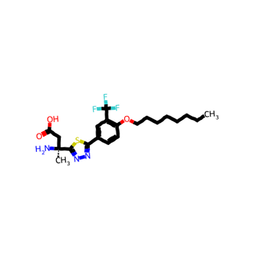 CCCCCCCCOc1ccc(-c2nnc([C@@](C)(N)CC(=O)O)s2)cc1C(F)(F)F